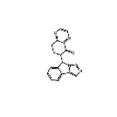 O=C1c2nccnc2CCC1C1c2ccccc2-c2cncn21